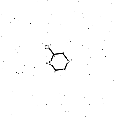 ClC1CSCCS1